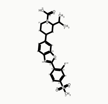 CC(C)C1CC(c2ccc3nc(-c4ccc(S(C)(=O)=O)cc4F)oc3c2)CCN1C(=O)O